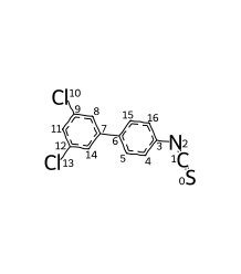 S=C=Nc1ccc(-c2cc(Cl)cc(Cl)c2)cc1